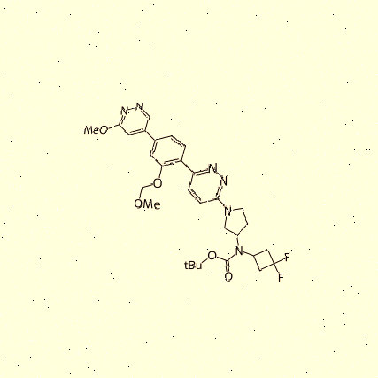 COCOc1cc(-c2cnnc(OC)c2)ccc1-c1ccc(N2CCC(N(C(=O)OC(C)(C)C)C3CC(F)(F)C3)C2)nn1